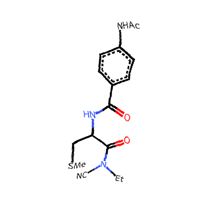 CCN(C#N)C(=O)C(CSC)NC(=O)c1ccc(NC(C)=O)cc1